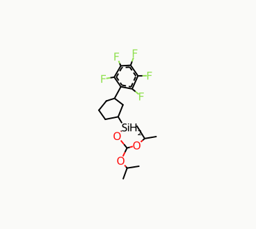 CC(C)OC(O[SiH2]C1CCCC(c2c(F)c(F)c(F)c(F)c2F)C1)OC(C)C